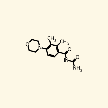 Cc1c(C(=O)NC(N)=O)ccc(N2CCOCC2)c1C